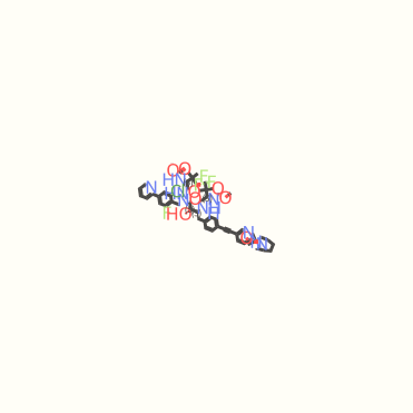 COC(=O)N[C@H](C(=O)NN(Cc1c(F)cc(-c2ccccn2)cc1Cl)C[C@H](O)[C@H](Cc1ccc(C#Cc2ccc(N3CC4CCC(C3)N4C3COC3)nc2)cc1)NC(=O)[C@@H](NC(=O)OC)C(C)(C)C(F)(F)F)C(C)(C)C